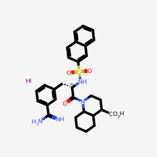 I.N=C(N)c1cccc(C[C@H](NS(=O)(=O)c2ccc3ccccc3c2)C(=O)N2CCC(C(=O)O)C3CCCCC32)c1